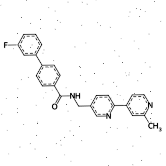 Cc1cc(-c2ccc(CNC(=O)c3ccc(-c4cccc(F)c4)cc3)cn2)ccn1